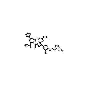 CC(C)Cc1sc(Nc2ncc(-c3cccs3)cc2C(=O)O)nc1-c1ccc(OCCN(C)C)c(Cl)c1